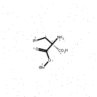 CC(C)C[C@](N)(C(=O)O)C(=O)OC(C)(C)C